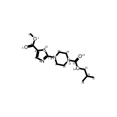 COC(=O)c1cnc(N2CCN(C(=O)OCC(C)C)CC2)s1